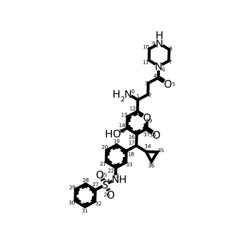 NC(CCC(=O)N1CCNCC1)c1cc(O)c(C(c2cccc(NS(=O)(=O)c3ccccc3)c2)C2CC2)c(=O)o1